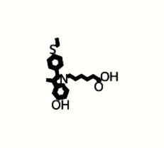 CCSc1ccc(-c2c(C)c3cc(O)ccc3n2CCCCCC(=O)O)cc1